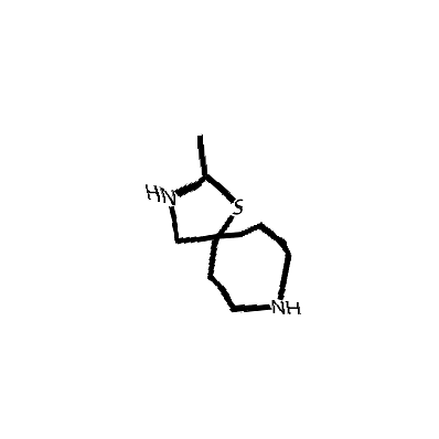 CC1NCC2(CCNCC2)S1